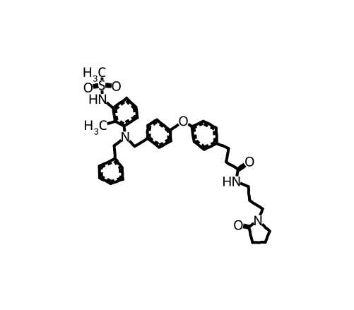 Cc1c(NS(C)(=O)=O)cccc1N(Cc1ccccc1)Cc1ccc(Oc2ccc(CCC(=O)NCCCN3CCCC3=O)cc2)cc1